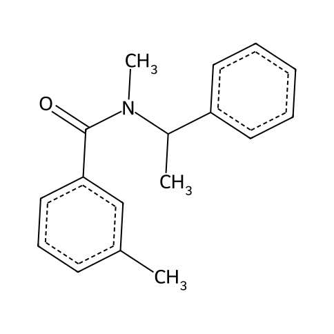 Cc1cccc(C(=O)N(C)C(C)c2ccccc2)c1